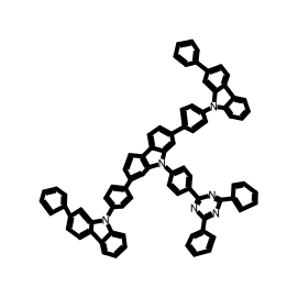 c1ccc(-c2ccc3c4ccccc4n(-c4ccc(-c5ccc6c7ccc(-c8ccc(-n9c%10ccccc%10c%10ccc(-c%11ccccc%11)cc%109)cc8)cc7n(-c7ccc(-c8nc(-c9ccccc9)nc(-c9ccccc9)n8)cc7)c6c5)cc4)c3c2)cc1